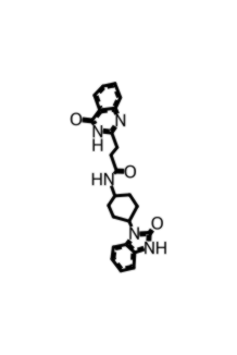 O=C(CCc1nc2ccccc2c(=O)[nH]1)NC1CCC(n2c(=O)[nH]c3ccccc32)CC1